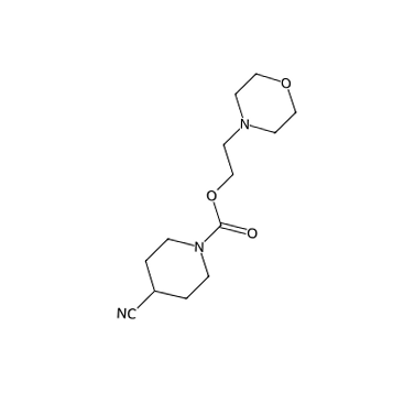 N#CC1CCN(C(=O)OCCN2CCOCC2)CC1